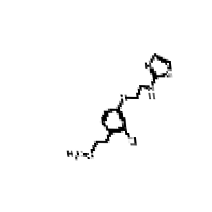 COC[CH]c1ccc(OCCNc2nccs2)cc1Cl